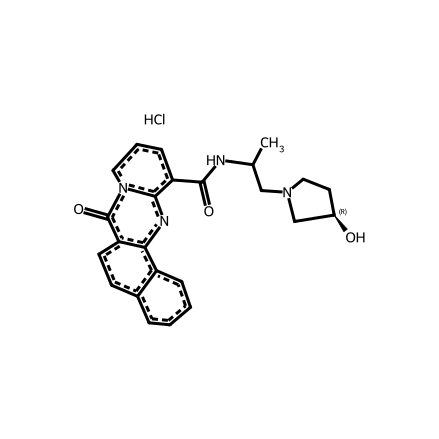 CC(CN1CC[C@@H](O)C1)NC(=O)c1cccn2c(=O)c3ccc4ccccc4c3nc12.Cl